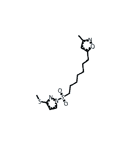 CSc1ccn(S(=O)(=O)CCCCCCCc2cc(C)no2)n1